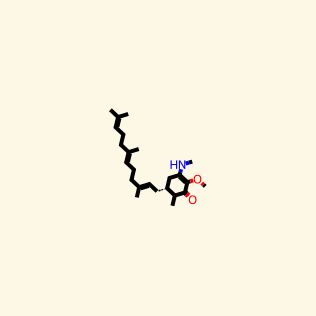 CNC1=C(OC)C(=O)C(C)[C@H](C/C=C(\C)CC/C=C(\C)CCC=C(C)C)C1